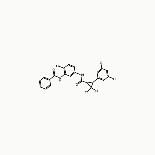 O=C(Nc1cc(NC(=O)C2C(c3cc(Cl)cc(Cl)c3)C2(Cl)Cl)ccc1Cl)c1ccccc1